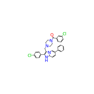 O=C(c1cccc(Cl)c1)N1CCN(CC2=C(c3ccc(Cl)cc3)NC3C=CC(c4ccccc4)=CN23)CC1